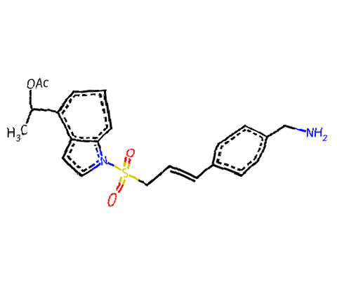 CC(=O)OC(C)c1cccc2c1ccn2S(=O)(=O)CC=Cc1ccc(CN)cc1